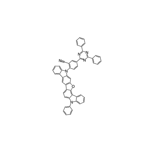 N#Cc1cc(-c2nc(-c3ccccc3)nc(-c3ccccc3)n2)ccc1-n1c2ccccc2c2cc3c(cc21)oc1c3ccc2c1c1ccccc1n2-c1ccccc1